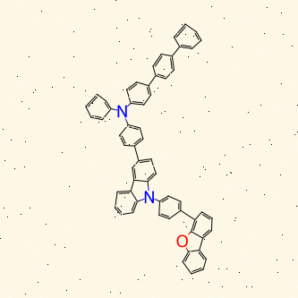 c1ccc(-c2ccc(-c3ccc(N(c4ccccc4)c4ccc(-c5ccc6c(c5)c5ccccc5n6-c5ccc(-c6cccc7c6oc6ccccc67)cc5)cc4)cc3)cc2)cc1